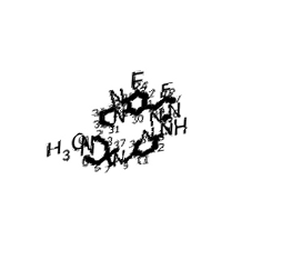 CN1CCC2(CC1)CN(Cc1ccc(Nc3ncc(F)c(-c4cc(F)c5nc6n(c5c4)CCC6)n3)nc1)C2